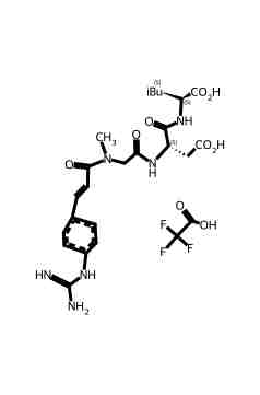 CC[C@H](C)[C@H](NC(=O)[C@H](CC(=O)O)NC(=O)CN(C)C(=O)C=Cc1ccc(NC(=N)N)cc1)C(=O)O.O=C(O)C(F)(F)F